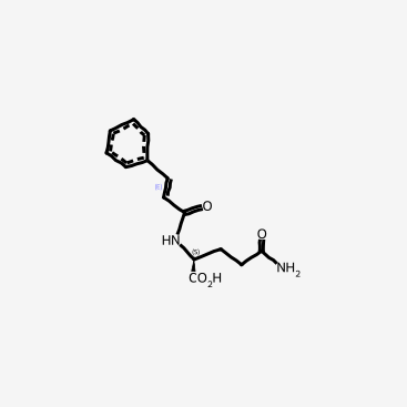 NC(=O)CC[C@H](NC(=O)/C=C/c1ccccc1)C(=O)O